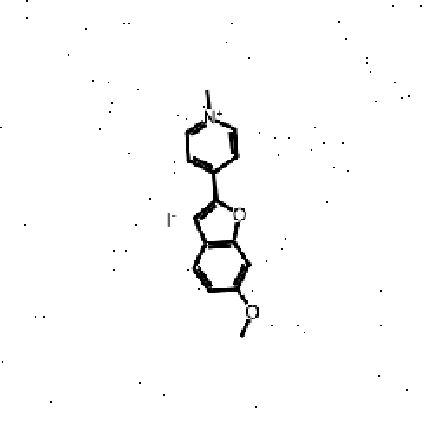 COc1ccc2cc(-c3cc[n+](C)cc3)oc2c1.[I-]